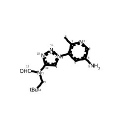 Cc1ncc(N)cc1-n1cc(N(C=O)CC(C)(C)C)nn1